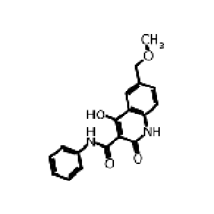 COCc1ccc2[nH]c(=O)c(C(=O)Nc3ccccc3)c(O)c2c1